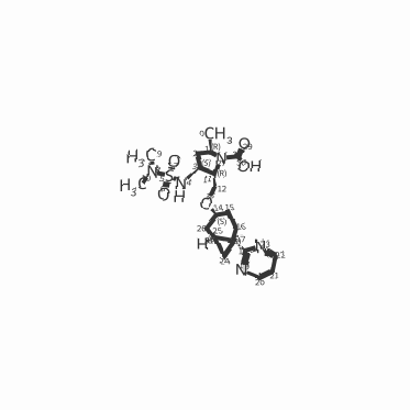 C[C@@H]1C[C@H](NS(=O)(=O)N(C)C)[C@H](CO[C@H]2CC[C@@]3(c4ncccn4)C[C@H]3C2)N1C(=O)O